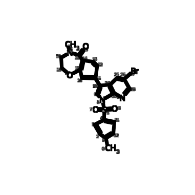 Cc1ccc(S(=O)(=O)n2cc(-c3ccc4c(c3)OCCN(C)C4=O)c3cc(Br)cnc32)cc1